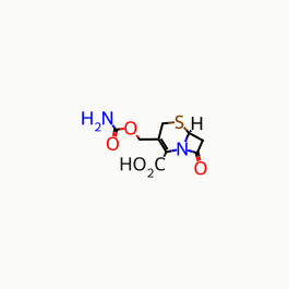 NC(=O)OCC1=C(C(=O)O)N2C(=O)C[C@@H]2SC1